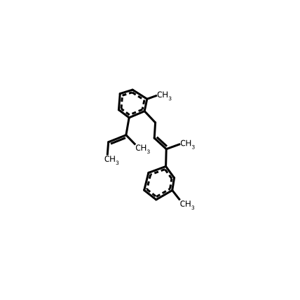 C/C=C(\C)c1cccc(C)c1C/C=C(\C)c1cccc(C)c1